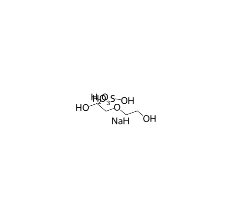 O.O=S(=O)(O)O.OCCOCCO.[NaH]